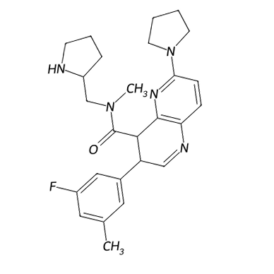 Cc1cc(F)cc(C2C=Nc3ccc(N4CCCC4)nc3C2C(=O)N(C)CC2CCCN2)c1